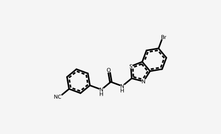 N#Cc1cccc(NC(=O)Nc2nc3ccc(Br)cc3s2)c1